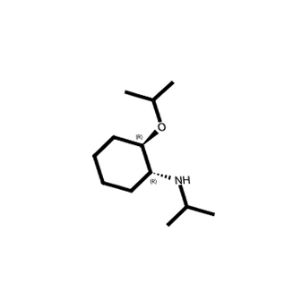 CC(C)N[C@@H]1CCCC[C@H]1OC(C)C